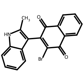 Cc1[nH]c2ccccc2c1C1=C(Br)C(=O)c2ccccc2C1=O